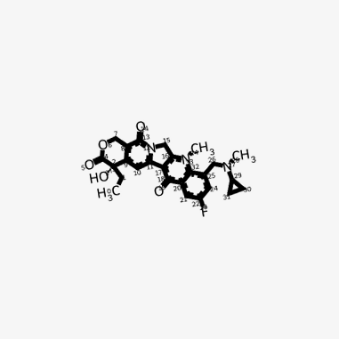 CC[C@@]1(O)C(=O)OCc2c1cc1n(c2=O)Cc2c-1c(=O)c1cc(F)cc(CN(C)C3CC3)c1n2C